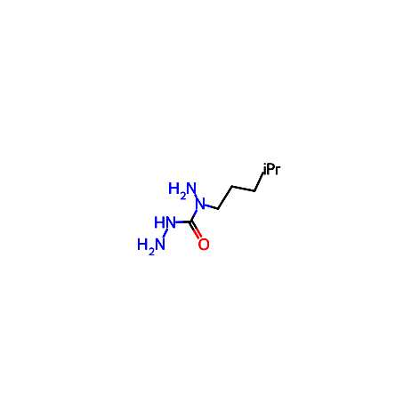 CC(C)CCCN(N)C(=O)NN